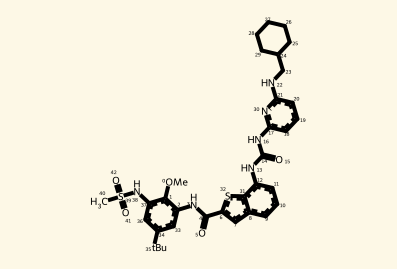 COc1c(NC(=O)c2cc3cccc(NC(=O)Nc4cccc(NCC5CCCCC5)n4)c3s2)cc(C(C)(C)C)cc1NS(C)(=O)=O